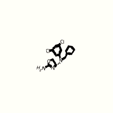 NC1=N[C@@H](CN(Cc2ccccc2)c2cc(Cl)cc(Cl)c2)CO1